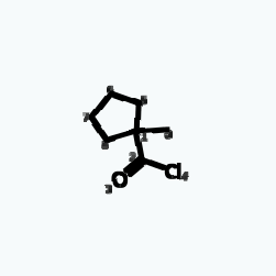 CC1(C(=O)Cl)CCCC1